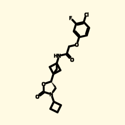 O=C(COc1ccc(Cl)c(F)c1)NC12CC([C@@H]3CN(C4CCC4)C(=O)O3)(C1)C2